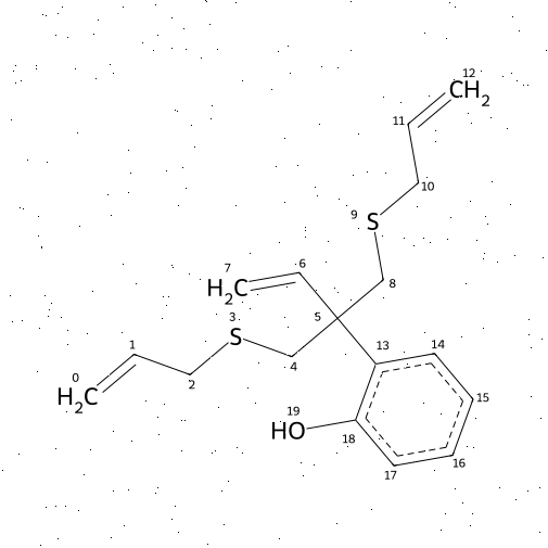 C=CCSCC(C=C)(CSCC=C)c1ccccc1O